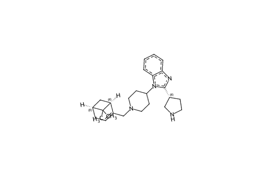 CC1(C)[C@H]2CC=C(CN3CCC(n4c([C@@H]5CCNC5)nc5ccccc54)CC3)[C@@H]1C2